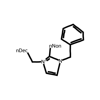 CCCCCCCCCCC[n+]1ccn(Cc2ccccc2)c1CCCCCCCCC